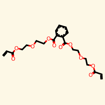 C=CC(=O)OCCOCCOC(=O)c1ccccc1C(=O)OCCOCCOC(=O)C=C